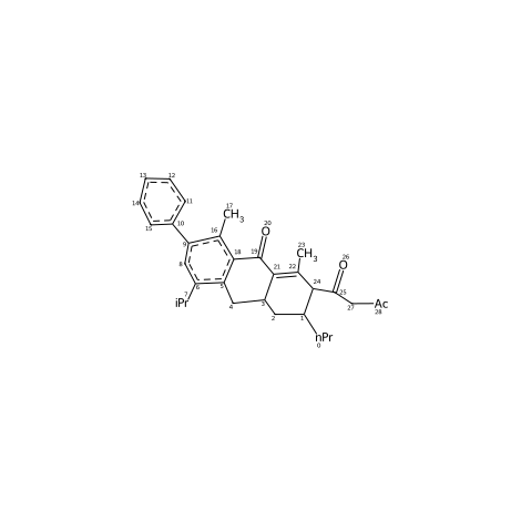 CCCC1CC2Cc3c(C(C)C)cc(-c4ccccc4)c(C)c3C(=O)C2=C(C)C1C(=O)CC(C)=O